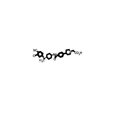 CN(c1ccc(C#N)c(Cl)c1)[C@H]1CC[C@H](NC(=O)c2ccc(C3CCN(CC(=O)O)CC3)cc2)CC1